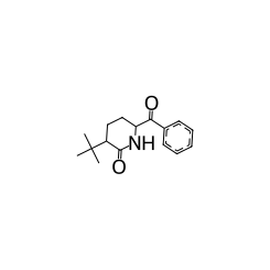 CC(C)(C)C1CCC(C(=O)c2ccccc2)NC1=O